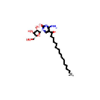 CCCCCCCCCCCCCCCC(=O)c1cn([C@@H]2O[C@H](CO)[C@@H](O)[C@@H]2O)c(=O)nc1N